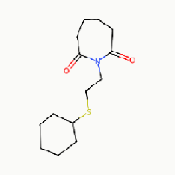 O=C1CCCCC(=O)N1CCSC1CCCCC1